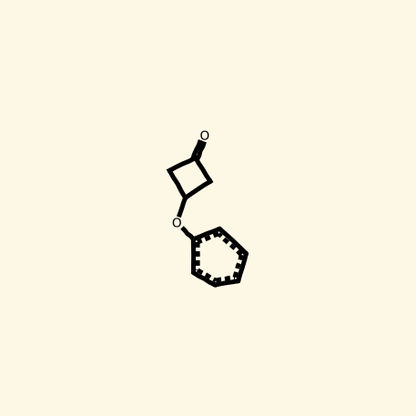 O=C1CC(Oc2ccccc2)C1